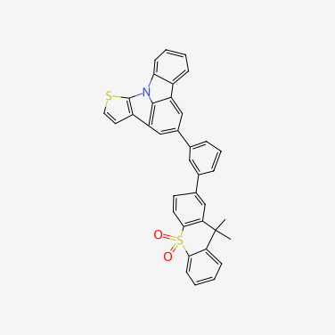 CC1(C)c2ccccc2S(=O)(=O)c2ccc(-c3cccc(-c4cc5c6ccccc6n6c7sccc7c(c4)c56)c3)cc21